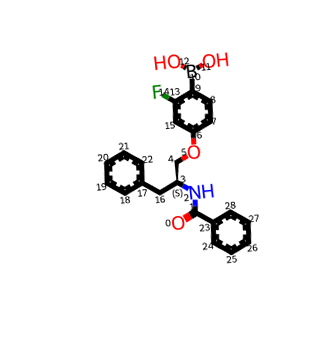 O=C(N[C@H](COc1ccc(B(O)O)c(F)c1)Cc1ccccc1)c1ccccc1